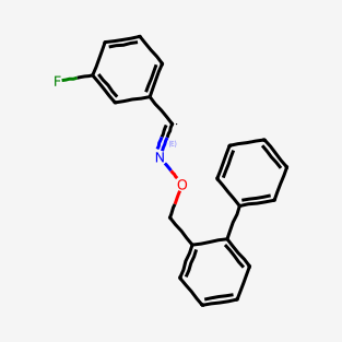 Fc1cccc(/[C]=N/OCc2ccccc2-c2ccccc2)c1